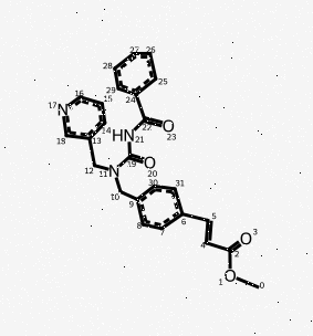 COC(=O)C=Cc1ccc(CN(Cc2cccnc2)C(=O)NC(=O)c2ccccc2)cc1